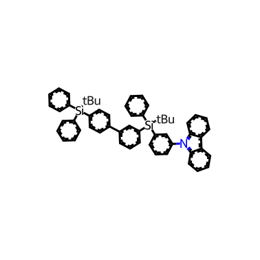 CC(C)(C)[Si](c1ccccc1)(c1ccccc1)c1ccc(-c2cccc([Si](c3ccccc3)(c3cccc(-n4c5ccccc5c5ccccc54)c3)C(C)(C)C)c2)cc1